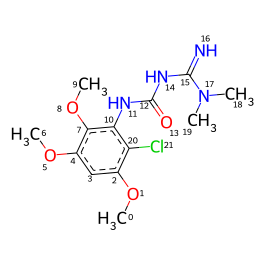 COc1cc(OC)c(OC)c(NC(=O)NC(=N)N(C)C)c1Cl